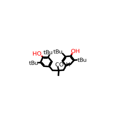 CC(Cc1cc(C(C)(C)C)c(O)c(C(C)(C)C)c1)(Cc1cc(C(C)(C)C)c(O)c(C(C)(C)C)c1)C(=O)O